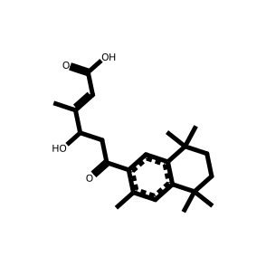 CC(=CC(=O)O)C(O)CC(=O)c1cc2c(cc1C)C(C)(C)CCC2(C)C